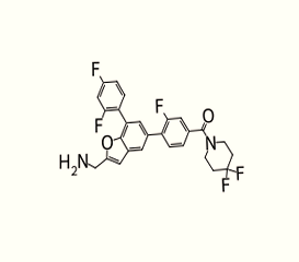 NCc1cc2cc(-c3ccc(C(=O)N4CCC(F)(F)CC4)cc3F)cc(-c3ccc(F)cc3F)c2o1